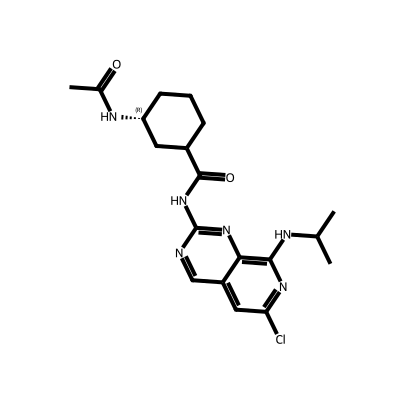 CC(=O)N[C@@H]1CCCC(C(=O)Nc2ncc3cc(Cl)nc(NC(C)C)c3n2)C1